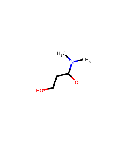 CN(C)C([O])CCO